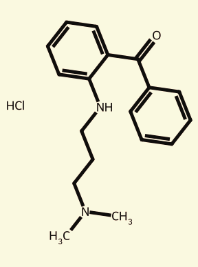 CN(C)CCCNc1ccccc1C(=O)c1ccccc1.Cl